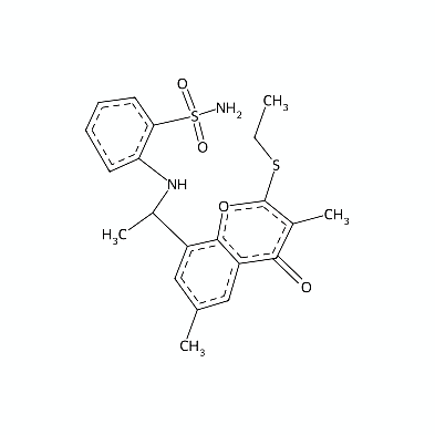 CCSc1oc2c(C(C)Nc3ccccc3S(N)(=O)=O)cc(C)cc2c(=O)c1C